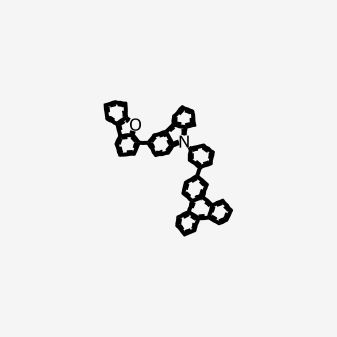 c1cc(-c2ccc3c4ccccc4c4ccccc4c3c2)cc(-n2c3ccccc3c3cc(-c4cccc5c4oc4ccccc45)ccc32)c1